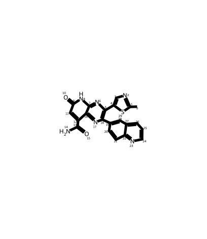 Cc1ncc(-c2nc3[nH]c(=O)cc(C(N)=O)c3nc2-c2ccc3ncccc3c2)s1